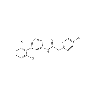 O=C(Nc1ccc(Cl)cc1)Nc1cccc(-c2c(Cl)cccc2Cl)c1